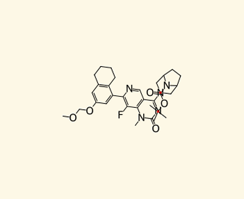 COCOc1cc2c(c(-c3ncc4c(N5CC6CCC(C5)N6C(=O)OC(C)(C)C)nc(=O)n(C)c4c3F)c1)CCCC2